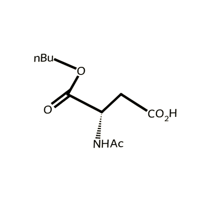 CCCCOC(=O)[C@H](CC(=O)O)NC(C)=O